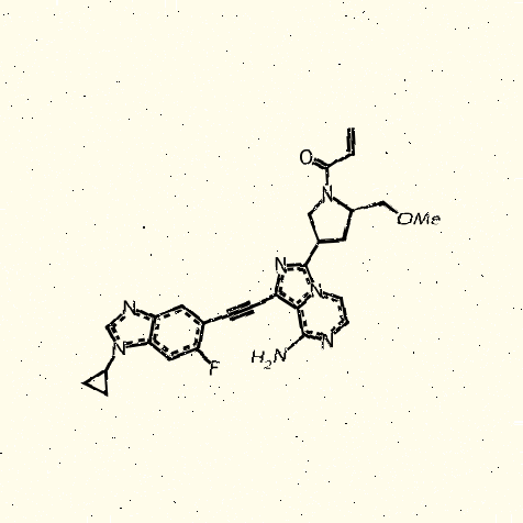 C=CC(=O)N1CC(c2nc(C#Cc3cc4ncn(C5CC5)c4cc3F)c3c(N)nccn23)C[C@@H]1COC